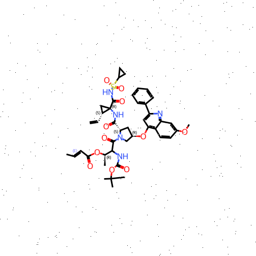 C=C[C@@H]1C[C@]1(NC(=O)[C@@H]1C[C@@H](Oc2cc(-c3ccccc3)nc3cc(OC)ccc23)CN1C(=O)C(NC(=O)OC(C)(C)C)[C@@H](C)OC(=O)/C=C/C)C(=O)NS(=O)(=O)C1CC1